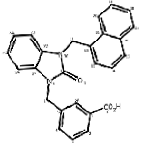 O=C(O)c1cccc(Cn2c(=O)n(Cc3cccc4ccccc34)c3ccccc32)c1